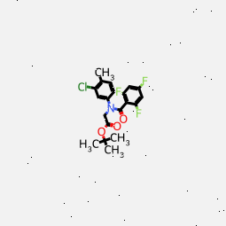 Cc1ccc(N(CC(=O)OC(C)(C)C)C(=O)c2c(F)cc(F)cc2F)cc1Cl